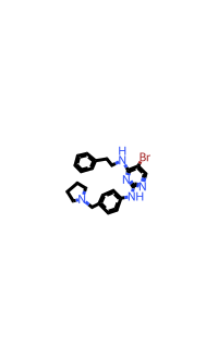 Brc1cnc(Nc2ccc(CN3CCCC3)cc2)nc1NCCc1ccccc1